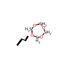 C=CC=C.O1[SiH2]O[SiH2]O[SiH2]O[SiH2]1